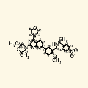 COc1ccc(-c2ccc3c(N4CCOCC4)nc(N4C[C@@H](C)O[C@@H](C)C4)nc3n2)cc1CN[C@H](C)c1ccc([N+](=O)[O-])cc1